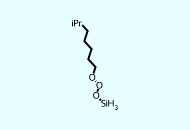 CC(C)CCCCCOOO[SiH3]